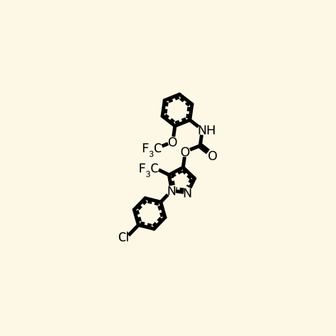 O=C(Nc1ccccc1OC(F)(F)F)Oc1cnn(-c2ccc(Cl)cc2)c1C(F)(F)F